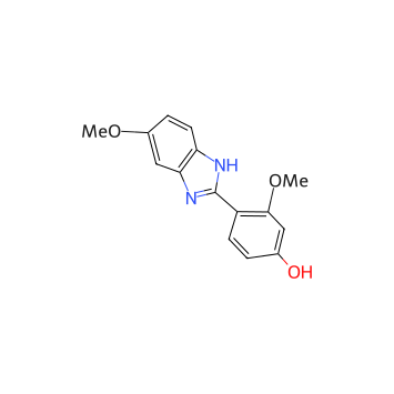 COc1ccc2[nH]c(-c3ccc(O)cc3OC)nc2c1